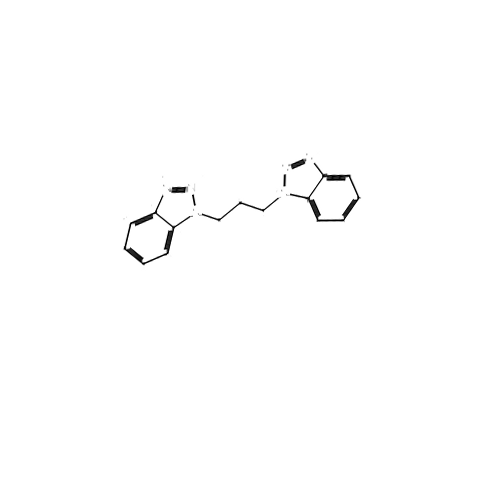 c1ccc2c(c1)nnn2CCCn1nnc2ccccc21